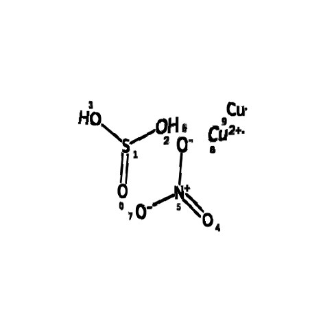 O=S(O)O.O=[N+]([O-])[O-].[Cu+2].[Cu]